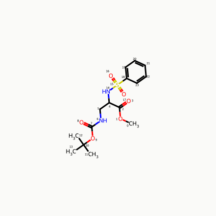 COC(=O)C(CNC(=O)OC(C)(C)C)NS(=O)(=O)c1ccccc1